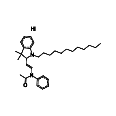 CCCCCCCCCCCCN1c2ccccc2C(C)(C)C1/C=C/N(C(C)=O)c1ccccc1.I